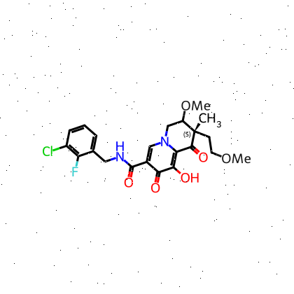 COCC[C@]1(C)C(=O)c2c(O)c(=O)c(C(=O)NCc3cccc(Cl)c3F)cn2CC1OC